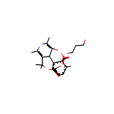 CC1=C2OC(=O)OC(=O)OC(C)(C)C(=C(C)N1)C2c1cccc([N+](=O)[O-])c1OCCCO